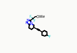 COCC(F)(F)c1nnc2ccc(C#Cc3ccc(F)cc3)cn12